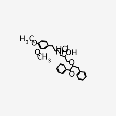 COc1ccc(CCNCC(O)COC(Cc2ccccc2)C(=O)c2ccccc2)cc1OC.Cl